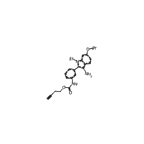 C#CCCOC(=O)Nc1cccc(-c2c(N)c3ccc(OC(C)C)cc3n2CC)c1